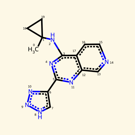 CC1(Nc2nc(-c3c[nH]nn3)nc3cnccc23)CC1